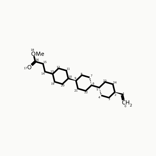 C=C[C@H]1CC[C@H]([C@H]2CC[C@H](C3CCC(CCC(=O)OC)CC3)CC2)CC1